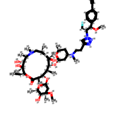 CC[C@H]1OC(=O)[C@H](C)[C@@H](O[C@H]2C[C@@](C)(OC)[C@@H](O)[C@H](C)O2)[C@H](C)[C@@H](O[C@H]2C[C@@H](N(C)CCc3cn([C@H](CF)[C@H](OC)c4ccc(C#CS)cc4)nn3)C[C@@H](C)O2)[C@](C)(O)C[C@@H](C)CN(C)[C@H](C)[C@@H](O)[C@]1(C)O